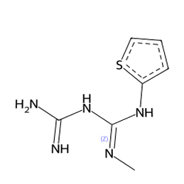 C/N=C(/NC(=N)N)Nc1cccs1